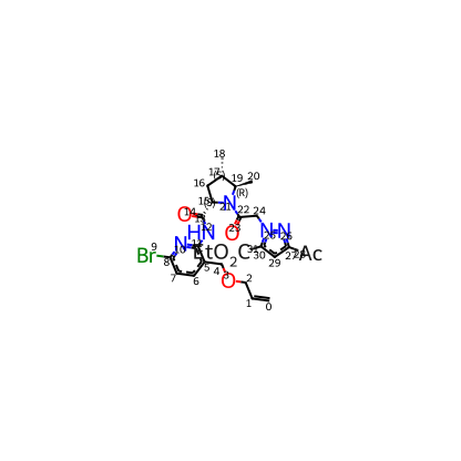 C=CCOCc1ccc(Br)nc1NC(=O)[C@@H]1C[C@H](C)[C@@H](C)N1C(=O)Cn1nc(C(C)=O)cc1C(=O)OCC